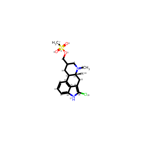 CN1CC(COS(C)(=O)=O)CC2c3cccc4[nH]c(Cl)c(c34)C[C@H]21